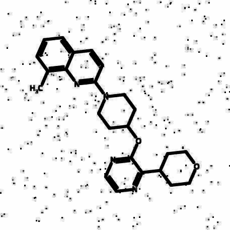 Cc1cccc2ccc(N3CCC(Oc4nccnc4C4CCOCC4)CC3)nc12